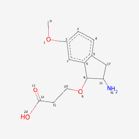 COc1ccc2c(c1)C(OCCC(=O)O)C(N)C2